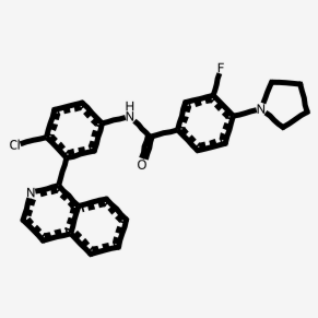 O=C(Nc1ccc(Cl)c(-c2nccc3ccccc23)c1)c1ccc(N2CCCC2)c(F)c1